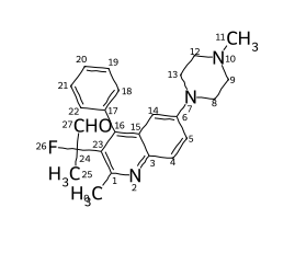 Cc1nc2ccc(N3CCN(C)CC3)cc2c(-c2ccccc2)c1C(C)(F)C=O